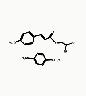 CCCCC(CC)COC(=O)/C=C/c1ccc(OC)cc1.Nc1ccc(C(=O)O)cc1